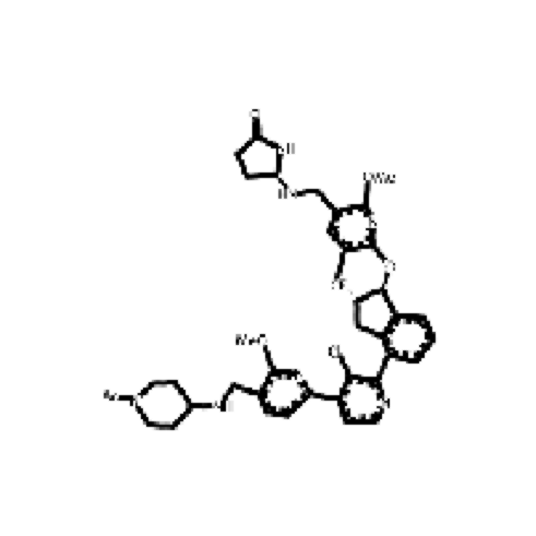 COc1nc(-c2ccnc(-c3cccc4c3CC[C@H]4Oc3nc(OC)c(CN[C@H]4CCC(=O)N4)cc3C(F)(F)F)c2Cl)ccc1CNC1CCN(C(C)=O)CC1